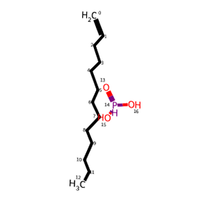 C=CCCCCCCCCCCC.O=[PH](O)O